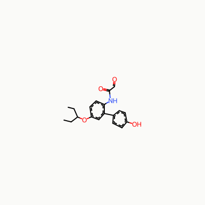 CCC(CC)Oc1ccc(NC(=O)C=O)c(-c2ccc(O)cc2)c1